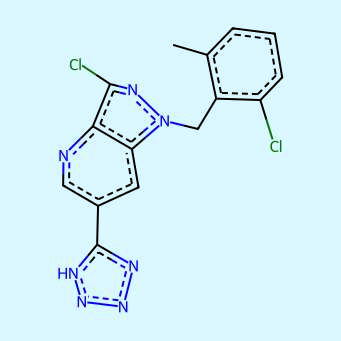 Cc1cccc(Cl)c1Cn1nc(Cl)c2ncc(-c3nnn[nH]3)cc21